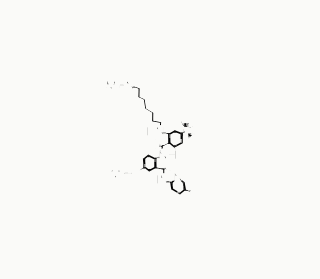 CNCCCCCCCNc1cc(S(C)(=O)=O)ccc1C(=O)Nc1ccc(OC)cc1C(=O)Nc1ccc(Cl)cn1